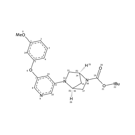 COc1cccc(Oc2cncc(N3C[C@@H]4C[C@H]3CN4C(=O)OC(C)(C)C)c2)c1